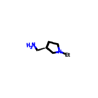 CCN1CC[C@@H](CN)C1